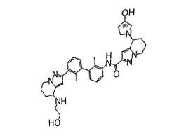 Cc1c(NC(=O)c2cc3n(n2)CCCC3N2CC[C@@H](O)C2)cccc1-c1cccc(-c2cc3n(n2)CCCC3NCCO)c1C